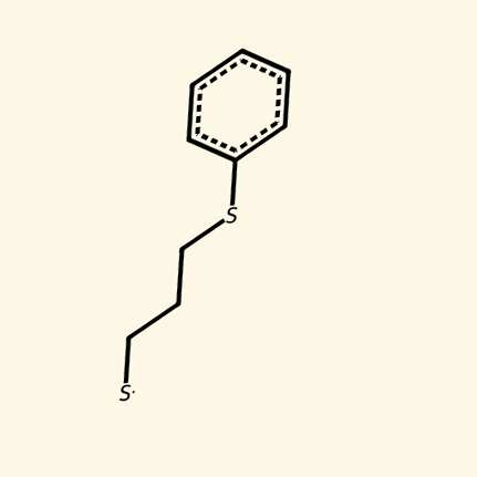 [S]CCCSc1ccccc1